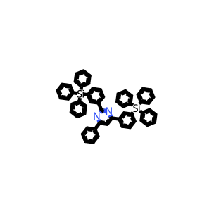 c1ccc(-c2cc(-c3cccc([Si](c4ccccc4)(c4ccccc4)c4ccccc4)c3)nc(-c3cccc([Si](c4ccccc4)(c4ccccc4)c4ccccc4)c3)n2)cc1